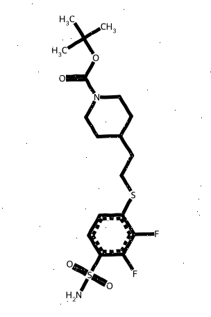 CC(C)(C)OC(=O)N1CCC(CCSc2ccc(S(N)(=O)=O)c(F)c2F)CC1